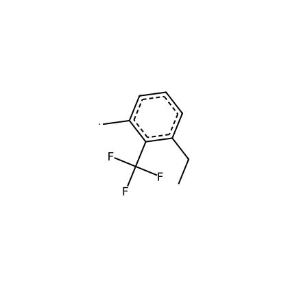 [CH2]c1cccc(CC)c1C(F)(F)F